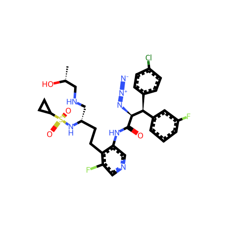 C[C@@H](O)CNC[C@H](CCc1c(F)cncc1NC(=O)[C@@H](N=[N+]=[N-])[C@@H](c1ccc(Cl)cc1)c1cccc(F)c1)NS(=O)(=O)C1CC1